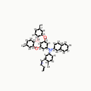 C=C/C=C\c1cc(N(c2cc3c4c(c2)Oc2cc(C)ccc2B4c2ccc(C)cc2O3)c2ccc3ccccc3c2)ccc1C